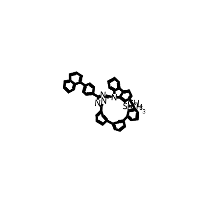 C[Si]1(C)c2c3cccc2-c2ccc4c5ccccc5n(c4c21)-c1nc(-c2ccc(-c4cccc5ccccc45)cc2)nc(n1)-c1cccc(c1)-c1cccc-3c1